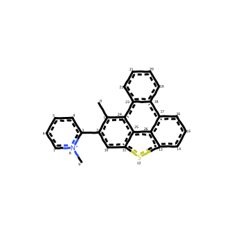 Cc1c(-c2cccc[n+]2C)cc2sc3cccc4c5ccccc5c1c2c34